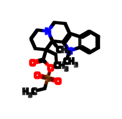 CCC1(C(=O)OS(=O)(=O)CC)CCCN2CCc3c(n(C)c4ccccc34)C21C